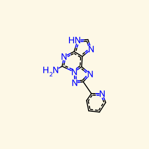 Nc1nc2[nH]cnc2c2nc(-c3ccccn3)nn12